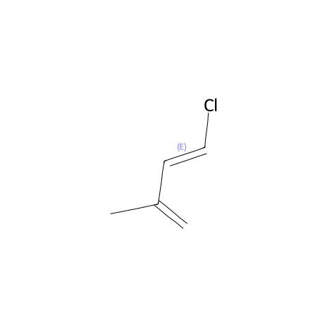 C=C(C)/C=C/Cl